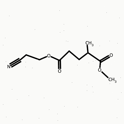 COC(=O)C(C)CCC(=O)OCCC#N